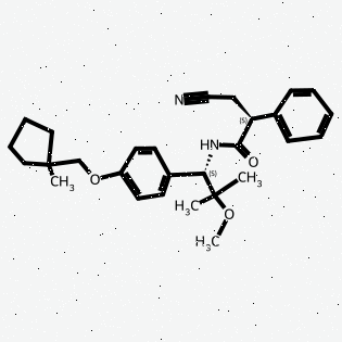 COC(C)(C)[C@@H](NC(=O)[C@@H](CC#N)c1ccccc1)c1ccc(OCC2(C)CCCC2)cc1